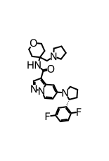 O=C(NC1(CN2CCCC2)CCOCC1)c1cnn2ccc(N3CCC[C@@H]3c3cc(F)ccc3F)cc12